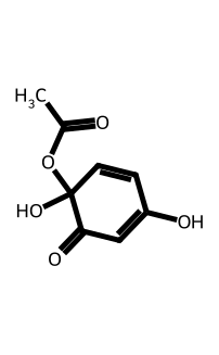 CC(=O)OC1(O)C=CC(O)=CC1=O